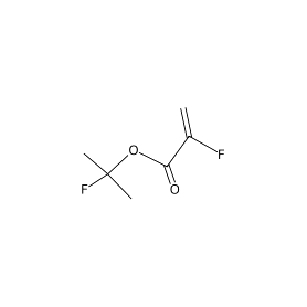 C=C(F)C(=O)OC(C)(C)F